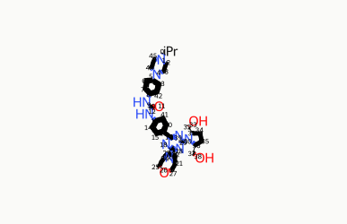 CC(C)N1CCN(c2ccc(NC(=O)Nc3ccc(-c4nc(N5C6CCC5COC6)nc(N5[C@H](CO)CC[C@@H]5CO)n4)cc3)cc2)CC1